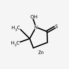 CC1(C)CCC(=S)N1O.[Zn]